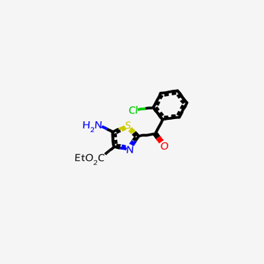 CCOC(=O)c1nc(C(=O)c2ccccc2Cl)sc1N